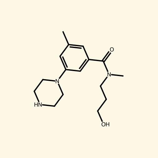 Cc1cc(C(=O)N(C)CCCO)cc(N2CCNCC2)c1